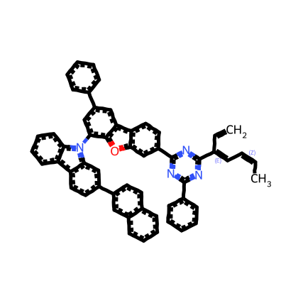 C=C/C(=C\C=C/C)c1nc(-c2ccccc2)nc(-c2ccc3c(c2)oc2c(-n4c5ccccc5c5ccc(-c6ccc7ccccc7c6)cc54)cc(-c4ccccc4)cc23)n1